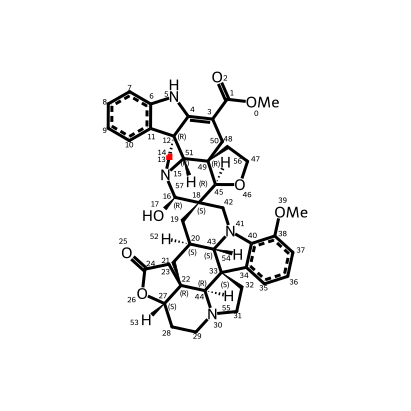 COC(=O)C1=C2Nc3ccccc3[C@@]23CCN2[C@H](O)[C@]4(C[C@@H]5C[C@]67CC(=O)O[C@H]6CCN6CC[C@@]8(c9cccc(OC)c9N(C4)[C@@H]58)[C@@H]67)[C@@H]4OCC[C@]4(C1)[C@H]23